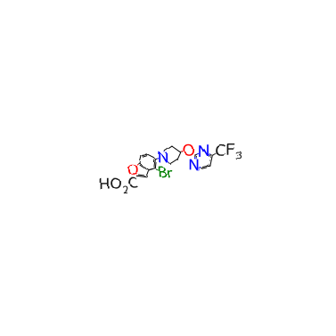 O=C(O)c1cc2c(Br)c(N3CCC(Oc4nccc(C(F)(F)F)n4)CC3)ccc2o1